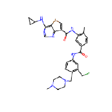 Cc1ccc(C(=O)Nc2ccc(CN3CCN(C)CC3)c(CF)c2)cc1NC(=O)c1csc2c(NC3CC3)ncnc12